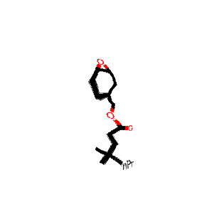 CCCC(C)(C)CCC(=O)OCC1CCC2OC2C1